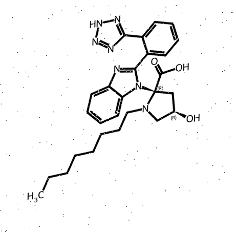 CCCCCCCCN1C[C@H](O)C[C@]1(C(=O)O)n1c(-c2ccccc2-c2nn[nH]n2)nc2ccccc21